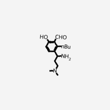 CCCCc1c(C(N)CCN(C)C)ccc(O)c1C=O